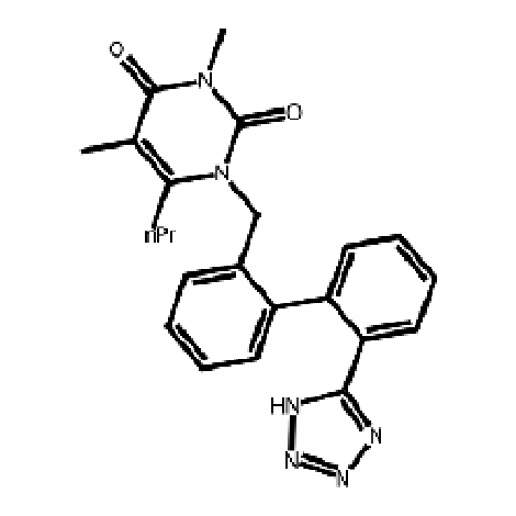 CCCc1c(C)c(=O)n(C)c(=O)n1Cc1ccccc1-c1ccccc1-c1nnn[nH]1